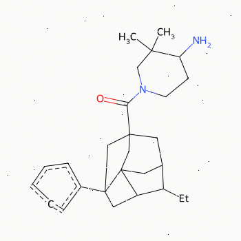 CCC1C2CC3(C(=O)N4CCC(N)C(C)(C)C4)CC4(c5ccccc5)CC1C4(C2)C3